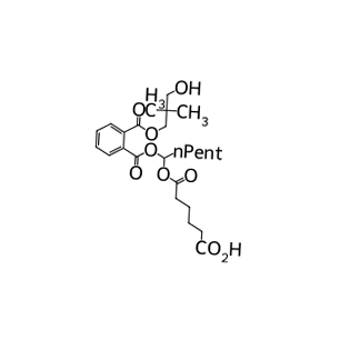 CCCCCC(OC(=O)CCCCC(=O)O)OC(=O)c1ccccc1C(=O)OCC(C)(C)CO